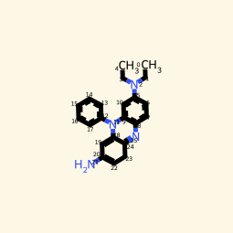 CCN(CC)c1ccc2c(c1)N(c1ccccc1)C1=CC(N)=CCC1=N2